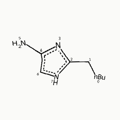 CCCCCc1nc(N)c[nH]1